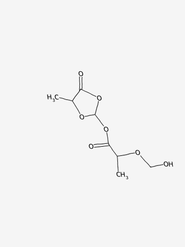 CC(OCO)C(=O)OC1OC(=O)C(C)O1